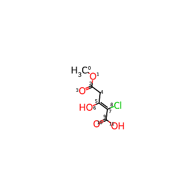 COC(=O)C/C(O)=C(\Cl)C(=O)O